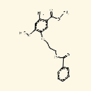 COC(=O)c1cc(OCCCNC(=O)c2ccccc2)c(OC)cc1N